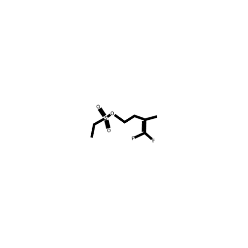 CCS(=O)(=O)OCCC(C)=C(F)F